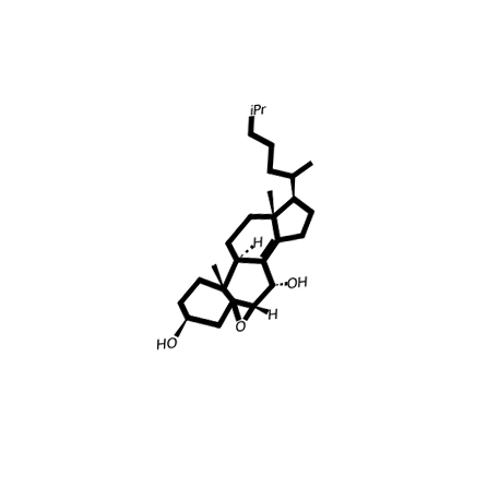 CC(C)CCCC(C)[C@H]1CCC2=C3[C@H](O)[C@@H]4OC45C[C@@H](O)CC[C@]5(C)[C@H]3CC[C@@]21C